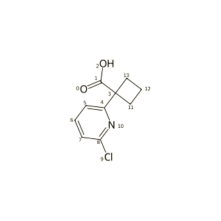 O=C(O)C1(c2cccc(Cl)n2)CCC1